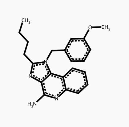 CCCCc1nc2c(N)nc3ccccc3c2n1Cc1cccc(OC)c1